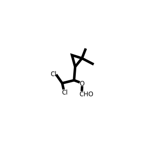 CC1(C)CC1C(OC=O)C(Cl)Cl